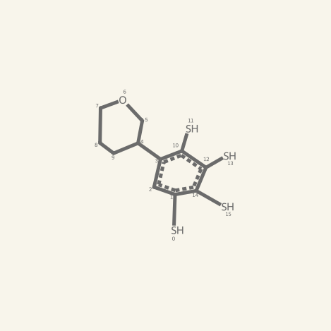 Sc1cc(C2[CH]OCCC2)c(S)c(S)c1S